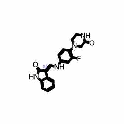 O=C1CN(c2ccc(N/C=C3/C(=O)Nc4ccccc43)cc2F)CCN1